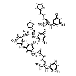 CC(NC(=C[N+](=O)[O-])Nc1cc(C(F)(F)F)cc(C(F)(F)F)c1)C(C)(C)C.N#CNC(=NC1CCCC1)Nc1cc(Cl)cc(Cl)c1.N#CNC(=NCCC1CC1)Nc1cc(Cl)cc(Cl)c1.N#CNC(=NCCCC1CCCC1)Nc1cc(Cl)cc(Cl)c1